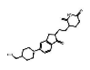 O=C1CCC(CCC2Cc3cc(N4CCC(CO)CC4)ccc3C2=O)C(=O)N1